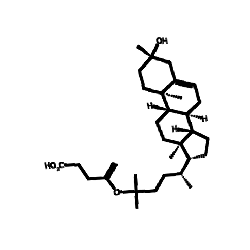 C=C(CCC(=O)O)OC(C)(C)CC[C@@H](C)[C@H]1CC[C@H]2[C@@H]3CC=C4C[C@@](C)(O)CC[C@]4(C)[C@H]3CC[C@]12C